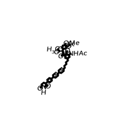 CCOc1cc([C@@H](CS(C)(=O)=O)N2C(=O)c3cc(CCCCCN4CCC(N5CCC(c6ccc(C7CCC(=O)NC7=O)cc6)CC5)CC4)cc(NC(C)=O)c3C2=O)ccc1OC